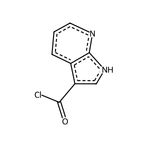 O=C(Cl)c1c[nH]c2ncccc12